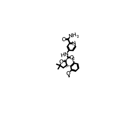 COc1cccc(F)c1[C@@H]1CC(C)(C)O[C@H]1C(=O)Nc1ccnc(C(N)=O)c1